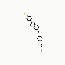 CCCCC[C@H]1CC[C@H](CCc2ccc3c(F)c(-c4cc(F)c(OC(F)F)c(F)c4)ccc3c2)CC1